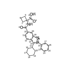 O=C(NC1(C(=O)O)CCC1)c1ccc2c(C3CCCCC3)n(-c3ccccc3)nc2c1